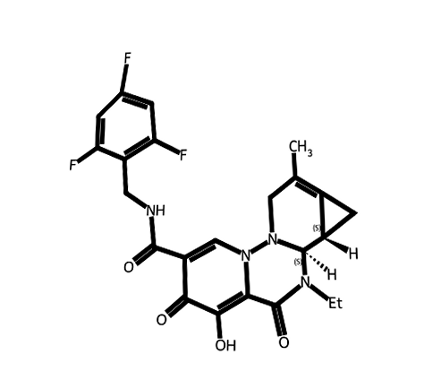 CCN1C(=O)c2c(O)c(=O)c(C(=O)NCc3c(F)cc(F)cc3F)cn2N2CC(C)=C3C[C@@H]3[C@@H]12